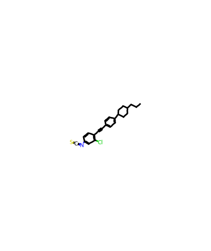 CCCC1CCC(c2ccc(C#Cc3ccc(N=C=S)cc3Cl)cc2)CC1